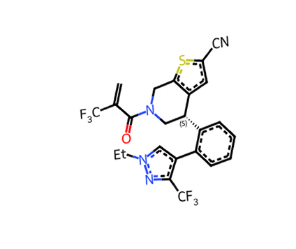 C=C(C(=O)N1Cc2sc(C#N)cc2[C@H](c2ccccc2-c2cn(CC)nc2C(F)(F)F)C1)C(F)(F)F